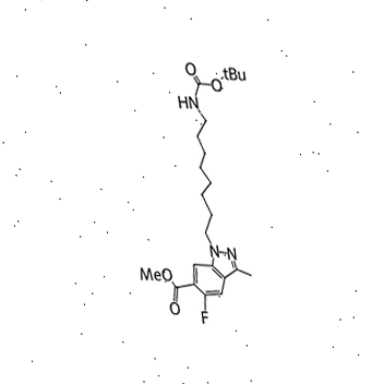 COC(=O)c1cc2c(cc1F)c(C)nn2CCCCCCCCNC(=O)OC(C)(C)C